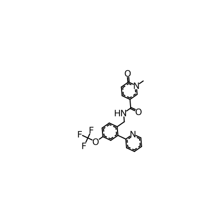 Cn1cc(C(=O)NCc2ccc(OC(F)(F)F)cc2-c2ccccn2)ccc1=O